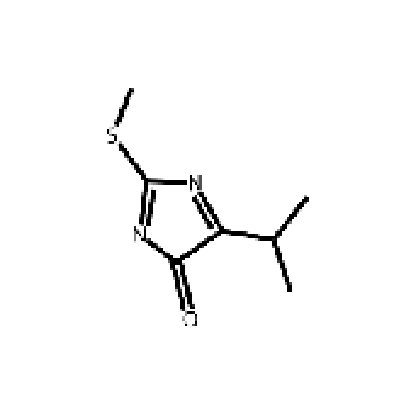 CSC1=NC(=O)C(C(C)C)=N1